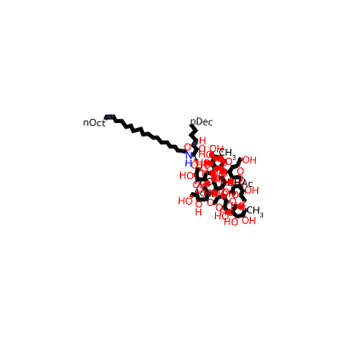 CCCCCCCC/C=C\CCCCCCCCCCCCCCCC(=O)N[C@@H](CO[C@@H]1OC(CO)[C@@H](O[C@@H]2OC(CO)[C@H](O)[C@H](O[C@@H]3OC(CO)[C@@H](O[C@H]4OC(C)[C@@H](O)C(O)[C@@H]4O)[C@H](O[C@@H]4OC(CO)[C@H](O)[C@H](O[C@@H]5OC(CO)[C@@H](O[C@@H]6OC(CO)[C@H](O)[C@H](O)C6O[C@H]6OC(C)[C@@H](O)C(O)[C@@H]6O)[C@H](O[C@H]6OC(C)[C@@H](O)C(O)[C@@H]6O)C5NC(C)=O)C4O)C3NC(C)=O)C2O)[C@H](O)C1O)[C@H](O)/C=C/CCCCCCCCCCCCC